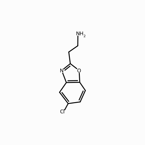 NCCc1nc2cc(Cl)ccc2o1